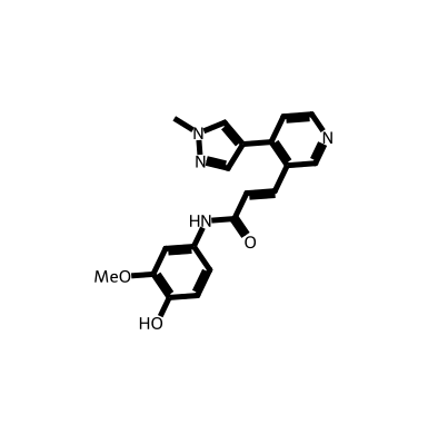 COc1cc(NC(=O)C=Cc2cnccc2-c2cnn(C)c2)ccc1O